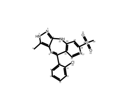 Cc1[nH]nc2c1N=C(c1ccccc1Cl)c1cnc(S(C)(=O)=O)cc1N2